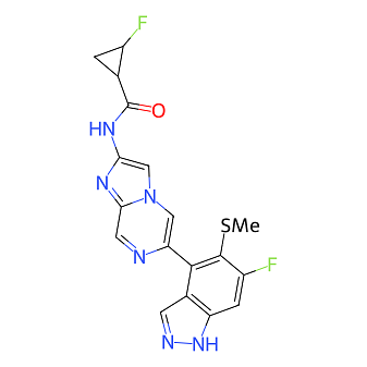 CSc1c(F)cc2[nH]ncc2c1-c1cn2cc(NC(=O)C3CC3F)nc2cn1